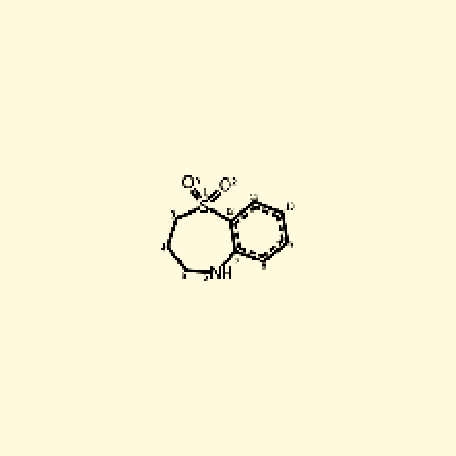 O=S1(=O)CCCNc2ccccc21